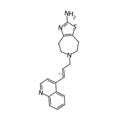 Nc1nc2c(s1)CCN(C/C=C/c1ccnc3ccccc13)CC2